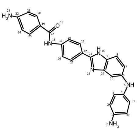 Nc1ccc(Nc2ccc3[nH]c(-c4ccc(NC(=O)c5ccc(N)cc5)cc4)nc3c2)cc1